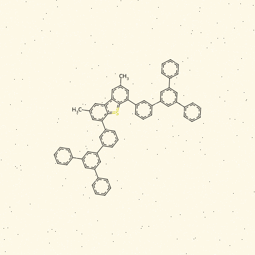 Cc1cc(-c2cccc(-c3cc(-c4ccccc4)cc(-c4ccccc4)c3)c2)c2sc3c(-c4cccc(-c5cc(-c6ccccc6)cc(-c6ccccc6)c5)c4)cc(C)cc3c2c1